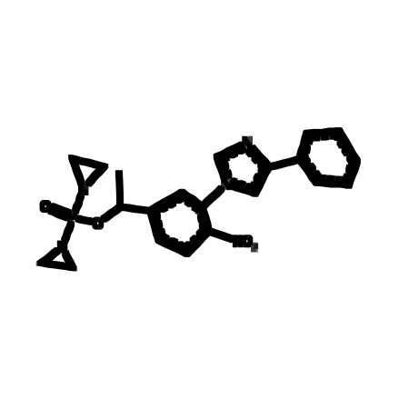 CC(OP(=O)(N1CC1)N1CC1)c1ccc([N+](=O)[O-])c(-n2cnc(-c3ccccc3)c2)c1